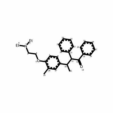 CCN(CC)CCOc1ccc(C(C)C(C(=O)c2ccccc2)c2ccccc2)cc1C